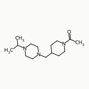 CC(=O)N1CCC(CN2CCN(C(C)C)CC2)CC1